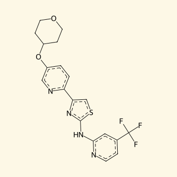 FC(F)(F)c1ccnc(Nc2nc(-c3ccc(OC4CCOCC4)cn3)cs2)c1